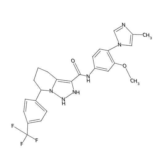 COc1cc(NC(=O)C2=C3CCCC(c4ccc(C(F)(F)F)cc4)N3NN2)ccc1-n1cnc(C)c1